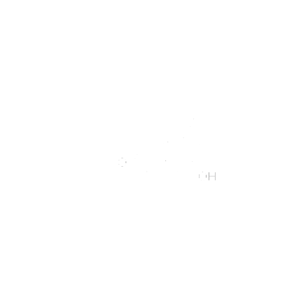 [CH2]C(CO)c1cc(OCC)ccc1C1CC1